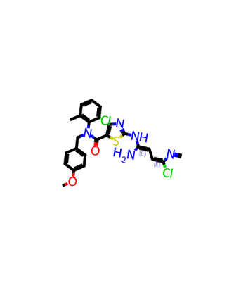 C=N/C(Cl)=C\C=C(/N)Nc1ncc(C(=O)N(Cc2ccc(OC)cc2)c2c(C)cccc2Cl)s1